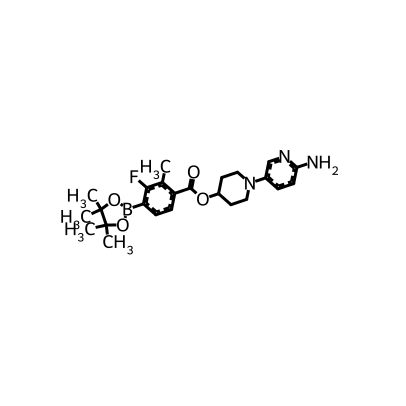 Cc1c(C(=O)OC2CCN(c3ccc(N)nc3)CC2)ccc(B2OC(C)(C)C(C)(C)O2)c1F